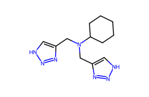 c1[nH]nnc1CN(Cc1c[nH]nn1)C1CCCCC1